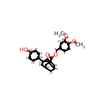 COc1ccc(COC(=O)C23CC4CC(C2)CC(c2ccc(O)cc2)(C4)C3)cc1OC